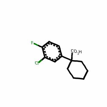 O=C(O)C1(c2ccc(F)c(Cl)c2)CCCCC1